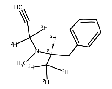 [2H]C([2H])(C#C)N(C)[C@@]([2H])(Cc1ccccc1)C([2H])([2H])[2H]